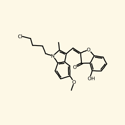 COc1ccc2c(c1)c(C=C1Oc3cccc(O)c3C1=O)c(C)n2CCCCCl